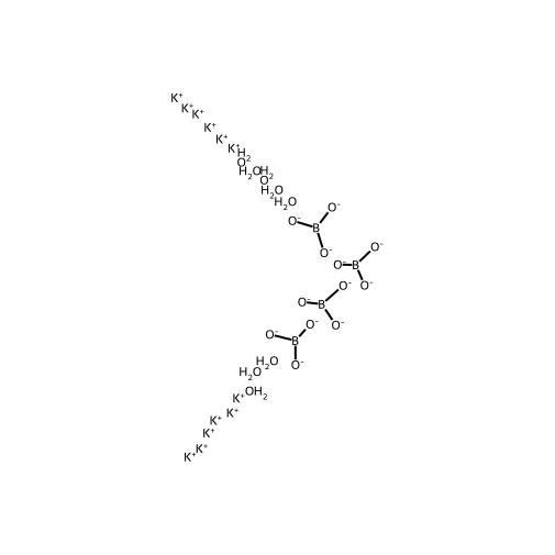 O.O.O.O.O.O.O.O.[K+].[K+].[K+].[K+].[K+].[K+].[K+].[K+].[K+].[K+].[K+].[K+].[O-]B([O-])[O-].[O-]B([O-])[O-].[O-]B([O-])[O-].[O-]B([O-])[O-]